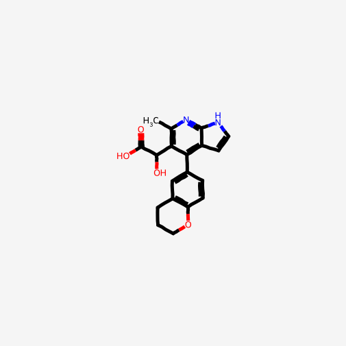 Cc1nc2[nH]ccc2c(-c2ccc3c(c2)CCCO3)c1C(O)C(=O)O